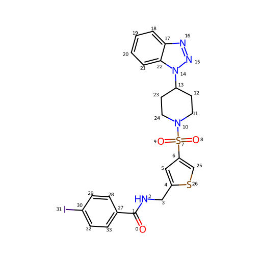 O=C(NCc1cc(S(=O)(=O)N2CCC(n3nnc4ccccc43)CC2)cs1)c1ccc(I)cc1